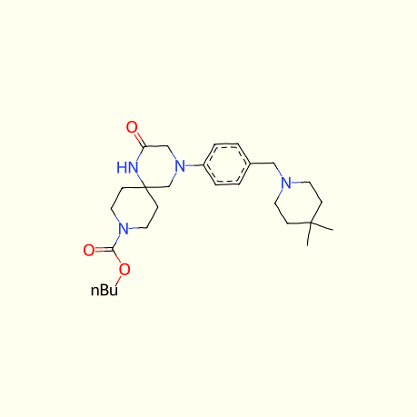 CCCCOC(=O)N1CCC2(CC1)CN(c1ccc(CN3CCC(C)(C)CC3)cc1)CC(=O)N2